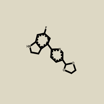 Fc1cc2c(c(-c3ccc(C4OCCO4)cn3)c1)CCN2